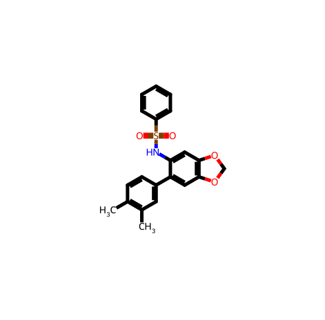 Cc1ccc(-c2cc3c(cc2NS(=O)(=O)c2ccccc2)OCO3)cc1C